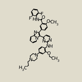 CCCN1CCN(c2ccc(Nc3nccc(-c4c(-c5ccc(OC)c(C(=O)Nc6c(F)cccc6F)c5)nc5ccccn45)n3)c(OCC)c2)CC1